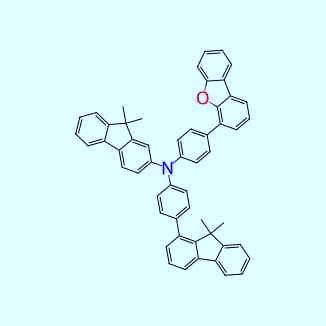 CC1(C)c2ccccc2-c2ccc(N(c3ccc(-c4cccc5c4C(C)(C)c4ccccc4-5)cc3)c3ccc(-c4cccc5c4oc4ccccc45)cc3)cc21